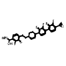 CCCC(O)c1ccc(CCC2CCC(c3ccc(-c4ccc(C5CO5)c(F)c4F)c(F)c3F)CC2)c(F)c1F